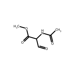 COC(=O)C(C=O)NC(C)=O